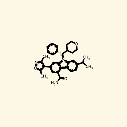 Cc1noc(C)c1-c1cc(C(N)=O)c2c3ccc(C(C)C)cc3n([C@H](c3ccccc3)C3CCOCC3)c2c1